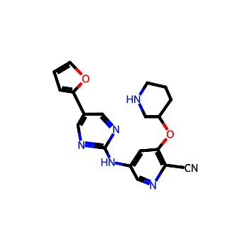 N#Cc1ncc(Nc2ncc(-c3ccco3)cn2)cc1OC1CCCNC1